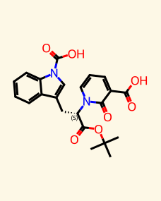 CC(C)(C)OC(=O)[C@H](Cc1cn(C(=O)O)c2ccccc12)n1cccc(C(=O)O)c1=O